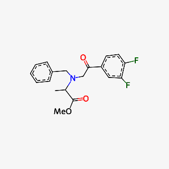 COC(=O)C(C)N(CC(=O)c1ccc(F)c(F)c1)Cc1ccccc1